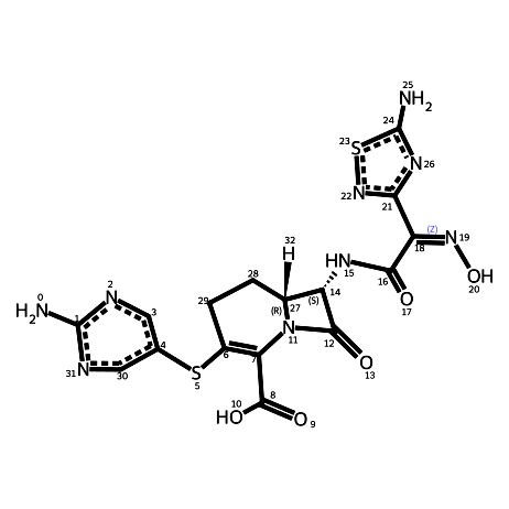 Nc1ncc(SC2=C(C(=O)O)N3C(=O)[C@@H](NC(=O)/C(=N\O)c4nsc(N)n4)[C@H]3CC2)cn1